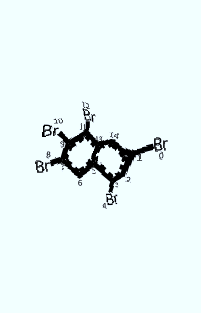 Brc1cc(Br)c2cc(Br)c(Br)c(Br)c2c1